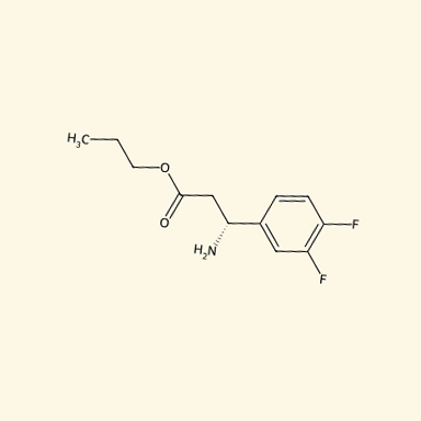 CCCOC(=O)C[C@@H](N)c1ccc(F)c(F)c1